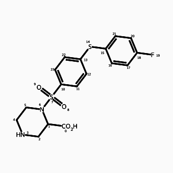 O=C(O)C1CNCCN1S(=O)(=O)c1ccc(Sc2ccc(F)cc2)cc1